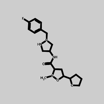 CN1OC(C2CCCO2)CC1C(=O)NC1CNN(Cc2ccc(F)cc2)C1